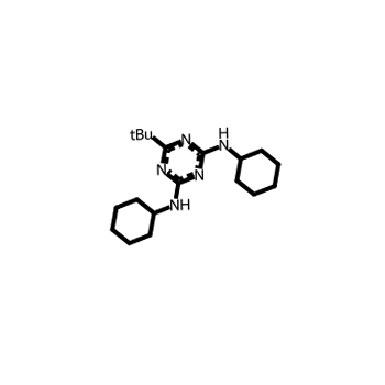 CC(C)(C)c1nc(NC2CCCCC2)nc(NC2CCCCC2)n1